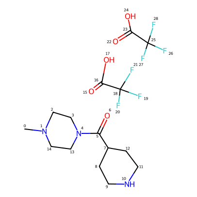 CN1CCN(C(=O)C2CCNCC2)CC1.O=C(O)C(F)(F)F.O=C(O)C(F)(F)F